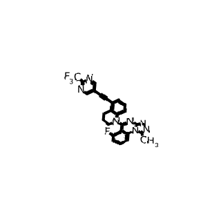 Cc1nnc2nc(N3CCCc4c(C#Cc5cnc(C(F)(F)F)nc5)cccc43)c3c(F)cccc3n12